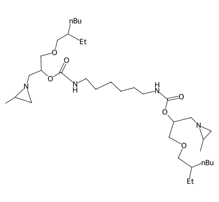 CCCCC(CC)COCC(CN1CC1C)OC(=O)NCCCCCCNC(=O)OC(COCC(CC)CCCC)CN1CC1C